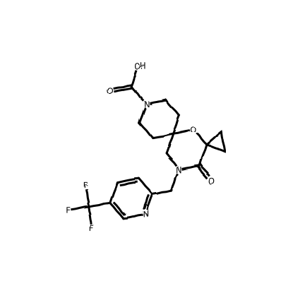 O=C(O)N1CCC2(CC1)CN(Cc1ccc(C(F)(F)F)cn1)C(=O)C1(CC1)O2